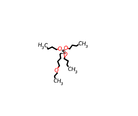 CCCCO[Si](CCCCOCCC)(OCCCC)OCCCC